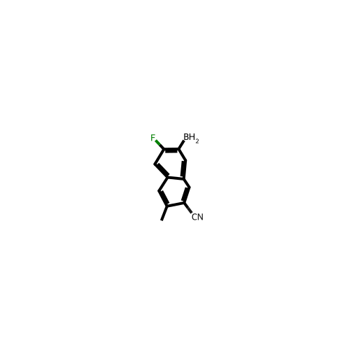 Bc1cc2cc(C#N)c(C)cc2cc1F